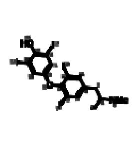 CNC(C)Cc1cc(I)c(Oc2cc(I)c(O)c(I)c2)c(I)c1